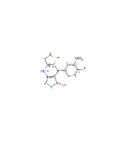 O=C1CCC2=C1C(c1ccc(Cl)c([N+](=O)[O-])c1)C1=C(CCS1)N2